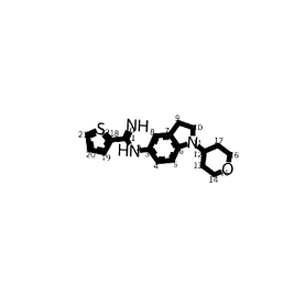 N=C(Nc1ccc2c(c1)CCN2C1CCOCC1)c1cccs1